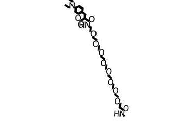 CCN(CC)c1ccc2cc(C(=O)NCCOCCOCCOCCOCCOCCOCCOCCOCCC(=O)NC)c(=O)oc2c1